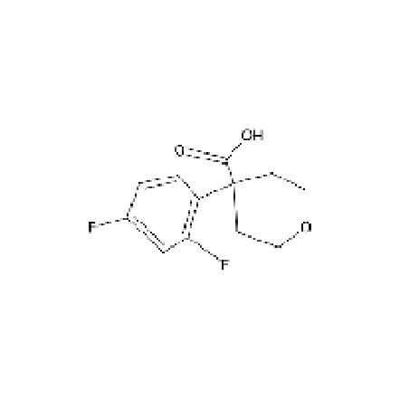 O=C(O)C1(c2ccc(F)cc2F)CCOCC1